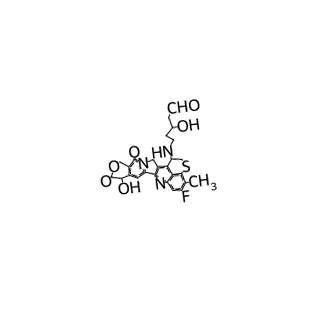 Cc1c(F)cc2nc3c(c4c2c1SCC4NCCC(O)CC=O)Cn1c-3cc2c(c1=O)COC(=O)C2O